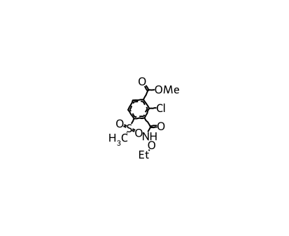 CCONC(=O)c1c(S(C)(=O)=O)ccc(C(=O)OC)c1Cl